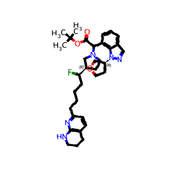 CC(C)(C)OC(=O)C(c1cccc2cnn([C@@H]3CCOC3)c12)N1CC[C@@H](C(F)CCCCc2ccc3c(n2)NCCC3)C1